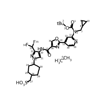 CC.CC(C)(C)OC(=O)N(CC1CC1)c1cc(-c2nc(C(=O)Nc3cn(C4CCC(CS(=O)(=O)O)CC4)nc3C(F)F)co2)ccn1